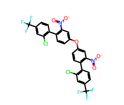 O=[N+]([O-])c1cc(Oc2ccc(-c3ccc(C(F)(F)F)cc3Cl)c([N+](=O)[O-])c2)ccc1-c1ccc(C(F)(F)F)cc1Cl